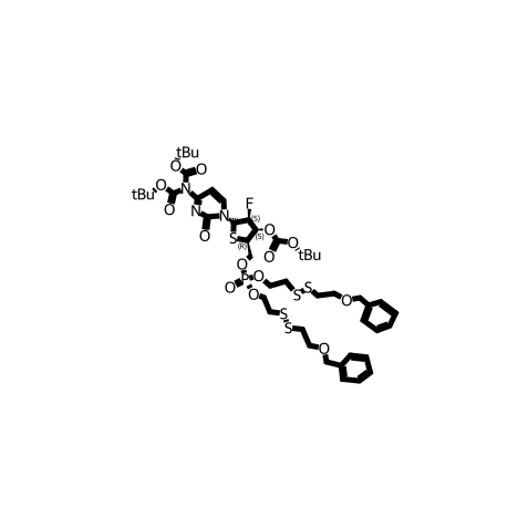 CC(C)(C)OC(=O)O[C@H]1[C@H](F)[C@H](n2ccc(N(C(=O)OC(C)(C)C)C(=O)OC(C)(C)C)nc2=O)S[C@@H]1COP(=O)(OCCSSCCOCc1ccccc1)OCCSSCCOCc1ccccc1